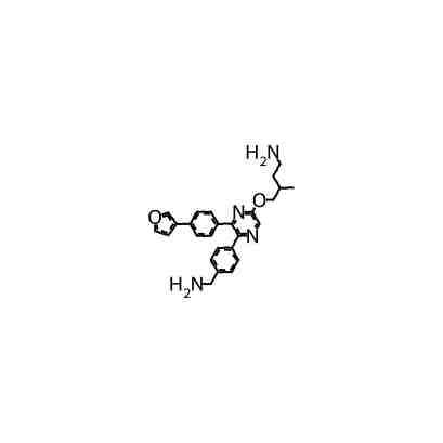 CC(CCN)COc1cnc(-c2ccc(CN)cc2)c(-c2ccc(-c3ccoc3)cc2)n1